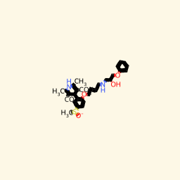 CC1=C(C(=O)O)C(c2cc([S+](C)[O-])ccc2OC/C=C/CNC[C@H](O)COc2ccccc2)C(C(=O)O)=C(C)N1